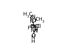 Cc1cn2nc(-c3cc(F)c4nc(C5CCNCC5)nnc4c3)cc(C)c2n1.Cl.Cl